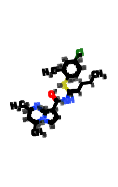 CCC/C=C(/NC(=O)c1ccn2c(C)cc(C)nc12)Sc1ccc(Cl)cc1C